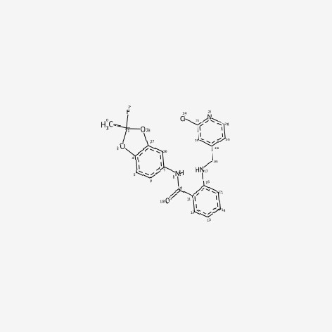 CC1(F)Oc2ccc(NC(=O)c3ccccc3NCc3ccnc(Cl)c3)cc2O1